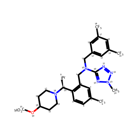 CC(C)[C@@H](c1ccc(C(F)(F)F)cc1CN(Cc1cc(C(F)(F)F)cc(C(F)(F)F)c1)c1nnn(C)n1)N1CCC(OC(=O)O)CC1